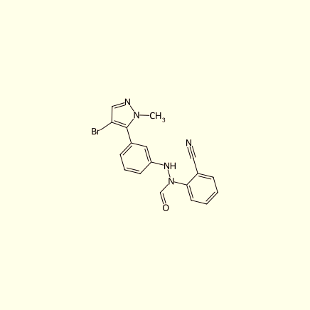 Cn1ncc(Br)c1-c1cccc(NN(C=O)c2ccccc2C#N)c1